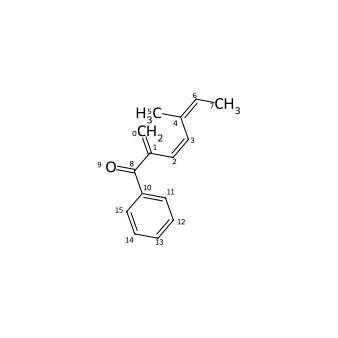 C=C(/C=C\C(C)=C/C)C(=O)c1ccccc1